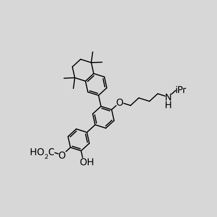 CC(C)NCCCCOc1ccc(-c2ccc(OC(=O)O)c(O)c2)cc1-c1ccc2c(c1)C(C)(C)CCC2(C)C